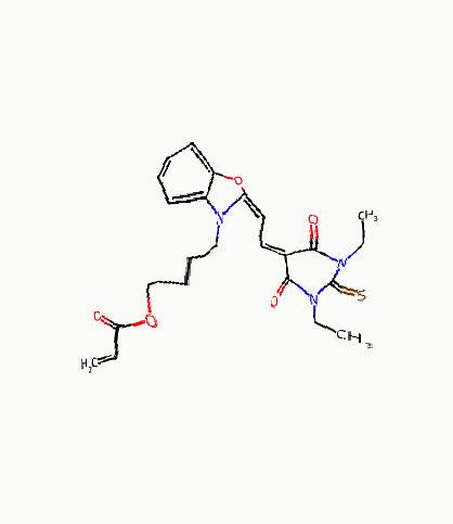 C=CC(=O)OCCCCN1/C(=C\C=C2C(=O)N(CC)C(=S)N(CC)C2=O)Oc2ccccc21